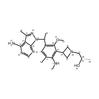 CNc1c(C)cc(C(C)n2nc(C)c3c(N)ncnc32)c(OC)c1C1CN(C[C@H](C)O)C1